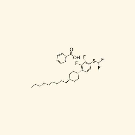 CCCCCCCCC[C@H]1CC[C@H](c2ccc(SC(F)F)c(F)c2F)CC1.O=C(O)c1ccccc1